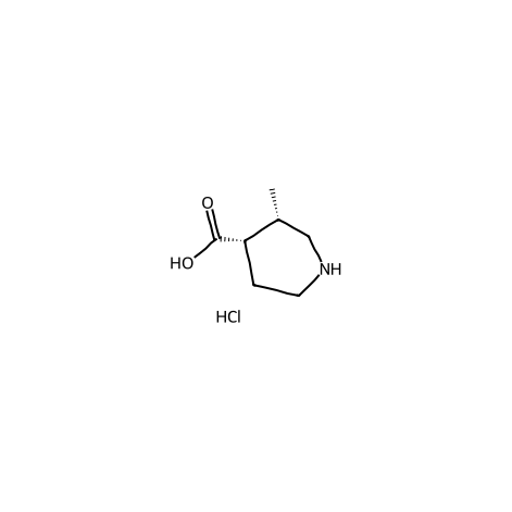 C[C@@H]1CNCC[C@@H]1C(=O)O.Cl